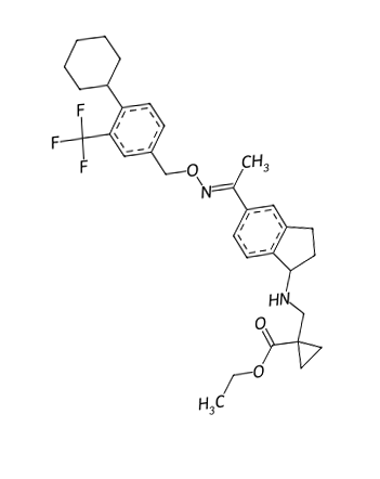 CCOC(=O)C1(CNC2CCc3cc(/C(C)=N/OCc4ccc(C5CCCCC5)c(C(F)(F)F)c4)ccc32)CC1